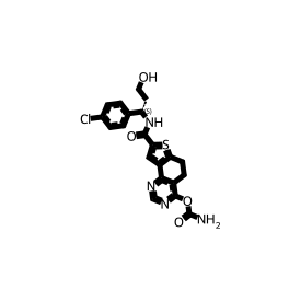 NC(=O)Oc1ncnc2c1CCc1sc(C(=O)N[C@@H](CCO)c3ccc(Cl)cc3)cc1-2